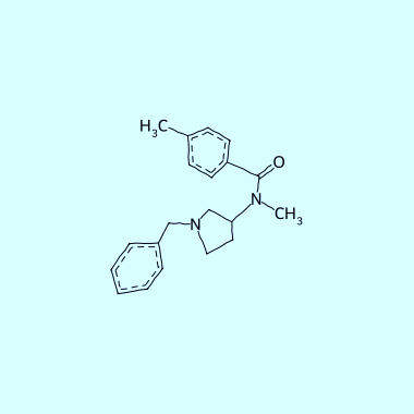 Cc1ccc(C(=O)N(C)C2CCN(Cc3ccccc3)C2)cc1